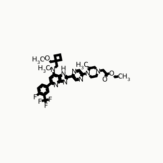 CCOC(=O)CN1CCN(c2cnc(-c3nc4nc(-c5ccc(F)c(C(F)(F)F)c5)cc(N(C)CC5(COC)CCC5)c4[nH]3)cn2)[C@H](C)C1